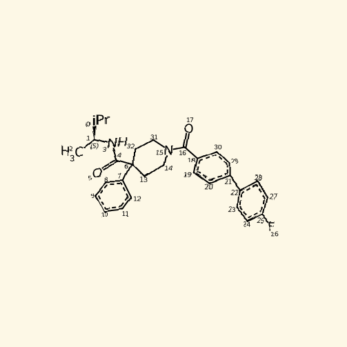 CC(C)[C@H](C)NC(=O)C1(c2ccccc2)CCN(C(=O)c2ccc(-c3ccc(F)cc3)cc2)CC1